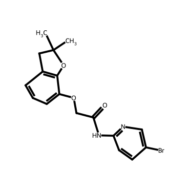 CC1(C)Cc2cccc(OCC(=O)Nc3ccc(Br)cn3)c2O1